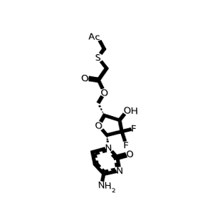 CC(=O)CSCC(=O)OC[C@H]1O[C@@H](n2ccc(N)nc2=O)C(F)(F)C1O